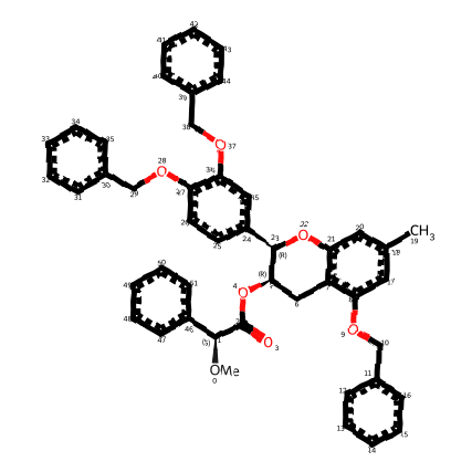 CO[C@H](C(=O)O[C@@H]1Cc2c(OCc3ccccc3)cc(C)cc2O[C@@H]1c1ccc(OCc2ccccc2)c(OCc2ccccc2)c1)c1ccccc1